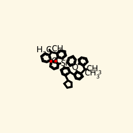 CC1(C)c2ccccc2Oc2c(-c3cc([Si](c4ccccc4)(c4ccccc4)c4cccc5c4Oc4ccccc4C5(C)C)ccc3C3CCCC3)cccc21